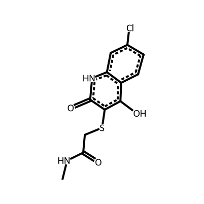 CNC(=O)CSc1c(O)c2ccc(Cl)cc2[nH]c1=O